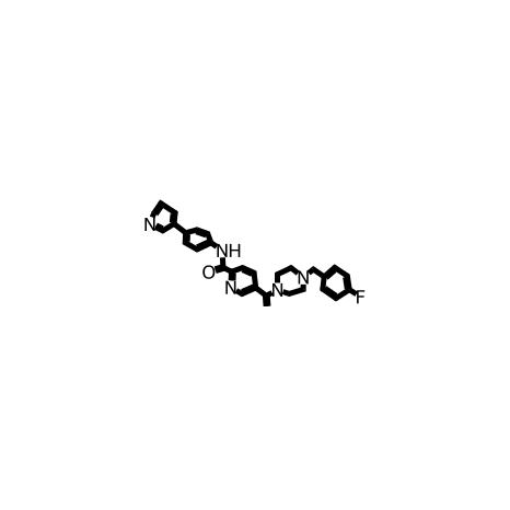 C=C(c1ccc(C(=O)Nc2ccc(-c3cccnc3)cc2)nc1)N1CCN(Cc2ccc(F)cc2)CC1